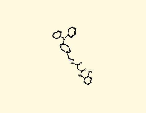 O=C(CC(=O)Nc1ccccc1O)N/N=C/c1ccc(N(c2ccccc2)c2ccccc2)cc1